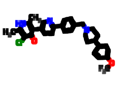 Cc1[nH]c(C)c(-c2ccc(-c3ccc(CN4CCC(c5ccc(OC(F)(F)F)cc5)CC4)cc3)nc2)c(=O)c1Cl